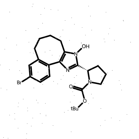 CC(C)(C)OC(=O)N1CCC[C@H]1c1nc2c(n1O)CCCCc1cc(Br)ccc1-2